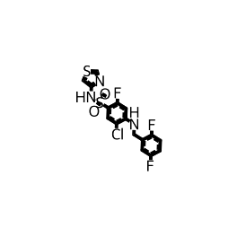 O=S(=O)(Nc1cscn1)c1cc(Cl)c(NCc2cc(F)ccc2F)cc1F